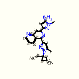 Cc1cc(-c2nc(-c3cc(N)n(C)n3)cc3ncccc23)nn1[C@]1(CC#N)C[C@@H](C#N)C1